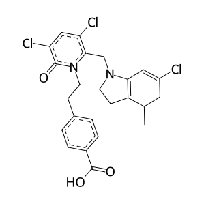 CC1CC(Cl)=CC2=C1CCN2Cc1c(Cl)cc(Cl)c(=O)n1CCc1ccc(C(=O)O)cc1